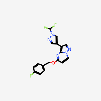 Fc1ccc(COc2ccn3ncc(-c4cnn(C(F)F)c4)c3n2)cc1